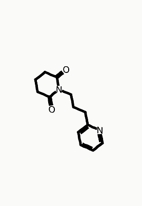 O=C1CCCC(=O)N1CCCc1ccccn1